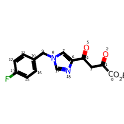 CCOC(=O)C(=O)CC(=O)c1cn(Cc2ccc(F)cc2)cn1